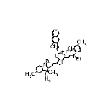 CCN1/C(=C/C=C2\CCC(/C=C/C3N(CC)c4ccc(C)cc4C3(C)C)=C2OC(=O)/C=C/c2cc3ccccc3cc2O)C(C)(C)c2cc(C)ccc21